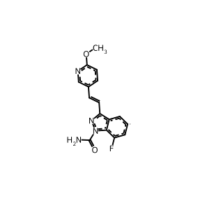 COc1ccc(C=Cc2nn(C(N)=O)c3c(F)c[c]cc23)cn1